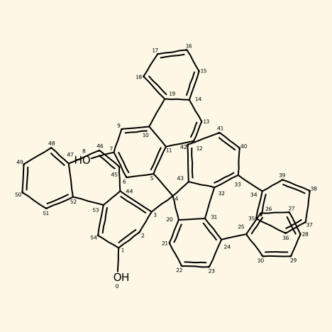 Oc1cc(C2(c3cc(O)cc4c3ccc3ccccc34)c3cccc(-c4ccccc4)c3-c3c(-c4ccccc4)cccc32)c2ccc3ccccc3c2c1